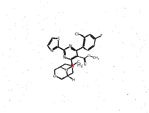 COC(=O)c1c(CN2C3COC[C@H]2CN(C)C3)nc(-c2nccs2)nc1-c1ccc(F)cc1Cl